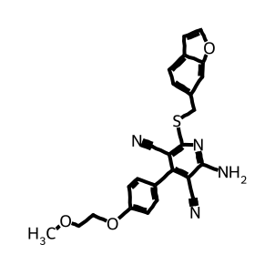 COCCOc1ccc(-c2c(C#N)c(N)nc(SCc3ccc4ccoc4c3)c2C#N)cc1